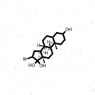 C[C@]12CCC(O)CC1CC[C@@H]1[C@H]2CC[C@@]2(C)[C@H]1CC(Br)C2(O)O